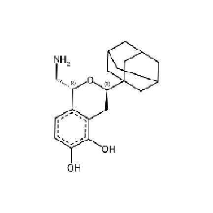 NC[C@@H]1O[C@@H](C23CC4CC(CC(C4)C2)C3)Cc2c1ccc(O)c2O